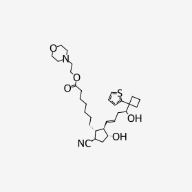 N#C[C@@H]1C[C@@H](O)[C@H](/C=C/CC(O)C2(c3cccs3)CCC2)[C@H]1CCCCCCC(=O)OCCN1CCOCC1